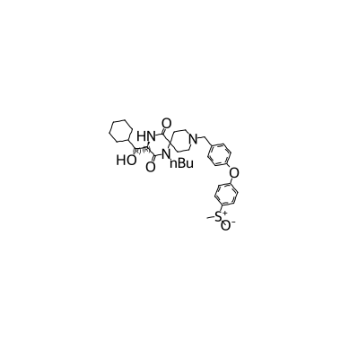 CCCCN1C(=O)[C@@H]([C@H](O)C2CCCCC2)NC(=O)C12CCN(Cc1ccc(Oc3ccc([S+](C)[O-])cc3)cc1)CC2